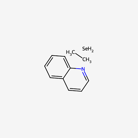 CC.[SeH2].c1ccc2ncccc2c1